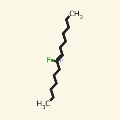 CCCCCC/C=C(\F)CCCCCC